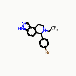 FC(F)(F)CN1CCc2c(ccc3[nH]ncc23)C1c1ccc(Br)cc1